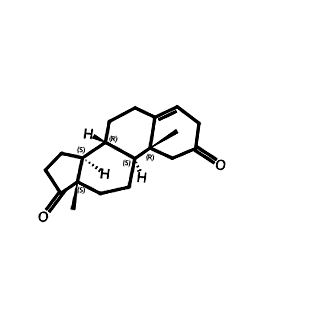 C[C@]12CC(=O)CC=C1CC[C@@H]1[C@@H]2CC[C@]2(C)C(=O)CC[C@@H]12